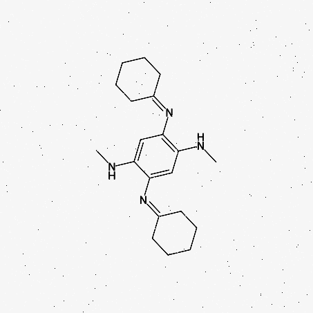 CNc1cc(N=C2CCCCC2)c(NC)cc1N=C1CCCCC1